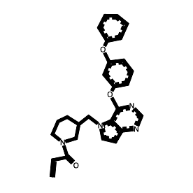 C=CC(=O)N1CCCC(Cn2ccc3ncnc(Oc4cccc(Oc5ccccc5)c4)c32)C1